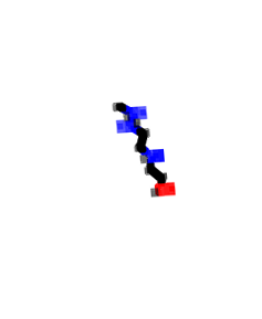 CNNCCNCCO